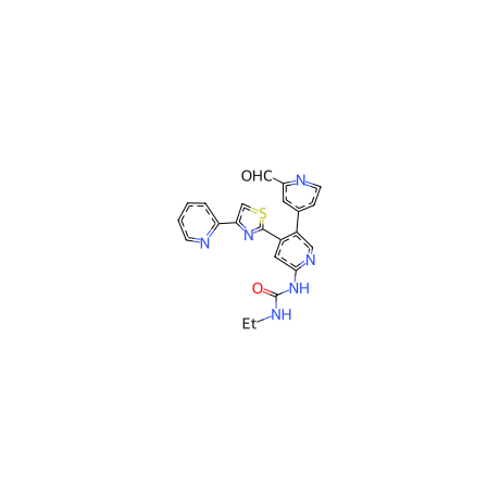 CCNC(=O)Nc1cc(-c2nc(-c3ccccn3)cs2)c(-c2ccnc(C=O)c2)cn1